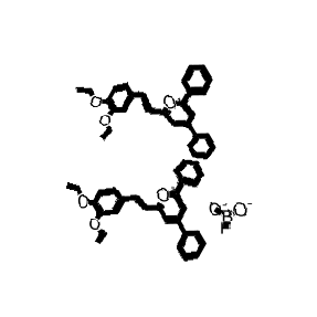 CCOc1ccc(C=Cc2cc(-c3ccccc3)cc(-c3ccccc3)[o+]2)cc1OCC.CCOc1ccc(C=Cc2cc(-c3ccccc3)cc(-c3ccccc3)[o+]2)cc1OCC.[O-]B([O-])F